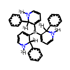 [2H]N1C=CC=[C]([Ir]([C]2=CC=CN([2H])C2([2H])c2ccccc2)[C]2=CC=CN([2H])C2([2H])c2ccccc2)C1([2H])c1ccccc1